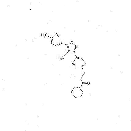 Cc1ccc(-c2onc(-c3ccc(OCC(=O)N4CCCCC4)cc3)c2C)cc1